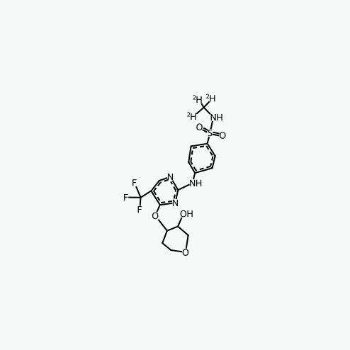 [2H]C([2H])([2H])NS(=O)(=O)c1ccc(Nc2ncc(C(F)(F)F)c(OC3CCOCC3O)n2)cc1